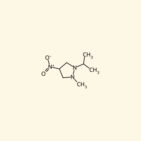 CC(C)N1CC([N+](=O)[O-])CN1C